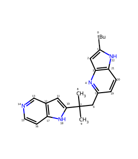 CC(C)(C)c1cc2nc(CC(C)(C)c3cc4cnccc4[nH]3)ccc2[nH]1